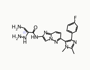 Cc1nc(-c2ccc(F)cc2)c(-c2ccc3nc(NC(=O)/C(=C/N)NN)cn3n2)n1C